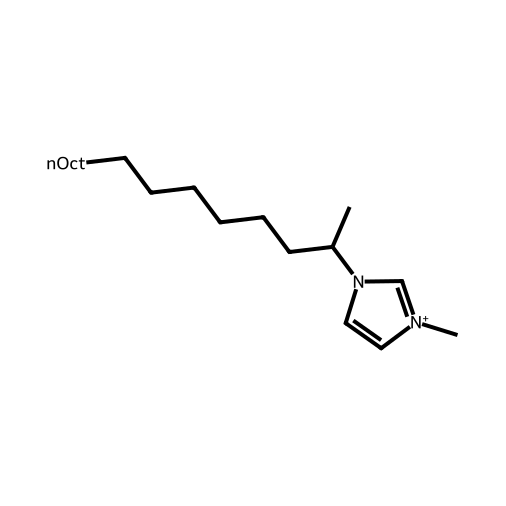 CCCCCCCCCCCCCCC(C)n1cc[n+](C)c1